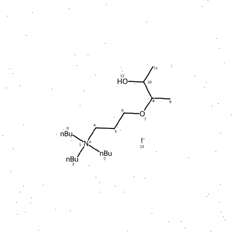 CCCC[N+](CCCC)(CCCC)CCCOC(C)C(C)O.[I-]